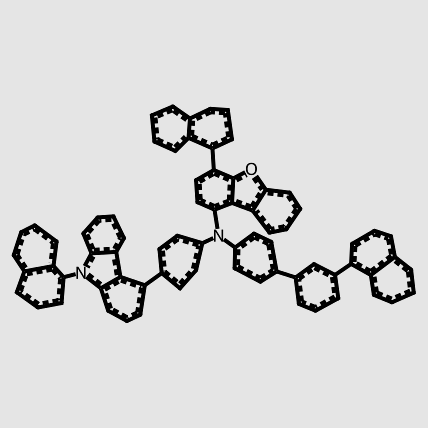 c1cc(-c2ccc(N(c3ccc(-c4cccc5c4c4ccccc4n5-c4cccc5ccccc45)cc3)c3ccc(-c4cccc5ccccc45)c4oc5ccccc5c34)cc2)cc(-c2cccc3ccccc23)c1